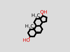 CC12CC[C@H](O)CC1=CCC1C2CCC2(C)C1CC[C@@H]2O